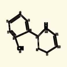 N#Cc1ccccc1C1CCC=CN1